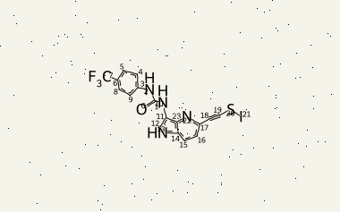 O=C(Nc1ccc(C(F)(F)F)cc1)Nc1c[nH]c2ccc(C#CSI)nc12